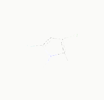 Cc1c(Cl)cc(F)n1C